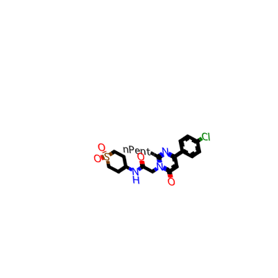 CCCCCc1nc(-c2ccc(Cl)cc2)cc(=O)n1CC(=O)NC1CCS(=O)(=O)CC1